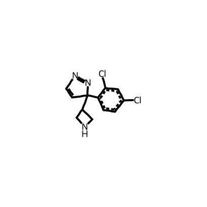 Clc1ccc(C2(C3CNC3)C=CN=N2)c(Cl)c1